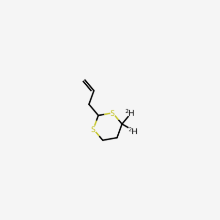 [2H]C1([2H])CCSC(CC=C)S1